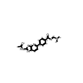 CC(=O)Nc1nc2ccc(-c3ccc(C(=O)/N=C/N(C)C)cc3)nc2s1